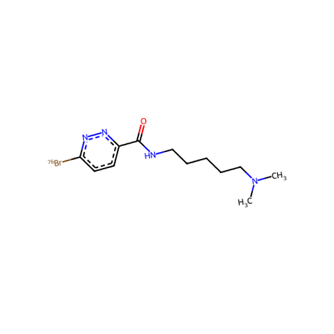 CN(C)CCCCCNC(=O)c1ccc([76Br])nn1